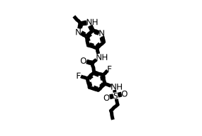 CCCS(=O)(=O)Nc1ccc(F)c(C(=O)Nc2cnc3[nH]c(C)nc3c2)c1F